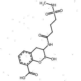 CNS(=O)(=O)CCCC(=O)NC1Cc2cccc(C(=O)O)c2OB1O